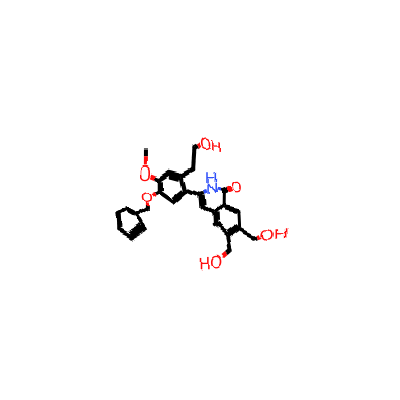 COc1cc(CCO)c(-c2cc3cc(CO)c(CO)cc3c(=O)[nH]2)cc1OCc1ccccc1